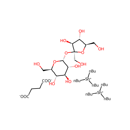 CCC[CH2][Sn+]([CH2]CCC)[CH2]CCC.CCC[CH2][Sn+]([CH2]CCC)[CH2]CCC.O=C([O-])CCC(=O)[O-].OC[C@H]1O[C@@](CO)(O[C@H]2O[C@H](CO)[C@@H](O)[C@H](O)[C@H]2O)[C@@H](O)[C@@H]1O